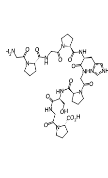 NCC(=O)N1CCC[C@H]1C(=O)NCC(=O)N1CCC[C@H]1C(=O)N[C@@H](Cc1c[nH]cn1)C(=O)NCC(=O)N1CCC[C@H]1C(=O)N[C@@H](CO)C(=O)NCC(=O)N1CCC[C@H]1C(=O)O